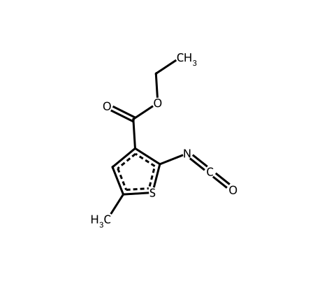 CCOC(=O)c1cc(C)sc1N=C=O